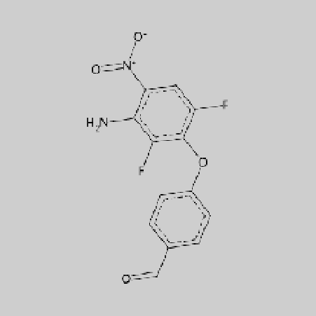 Nc1c([N+](=O)[O-])cc(F)c(Oc2ccc(C=O)cc2)c1F